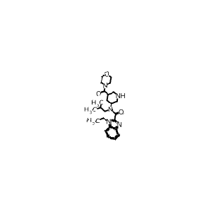 CCn1c(C(=O)N(CC(C)C)[C@@H]2CNCC(C(=O)N3CCOCC3)C2)nc2ccccc21